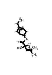 CC(C)=CC(C)(C(=O)OC1CC2CC1CC2CO)C(C)(C)C